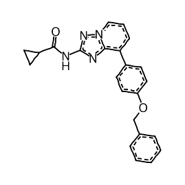 O=C(Nc1nc2c(-c3ccc(OCc4ccccc4)cc3)cccn2n1)C1CC1